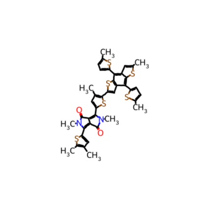 Cc1ccc(-c2c3cc(-c4sc(C5=C6C(=O)N(C)C(c7cc(C)c(C)s7)=C6C(=O)N5C)cc4C)sc3c(-c3ccc(C)s3)c3cc(C)sc23)s1